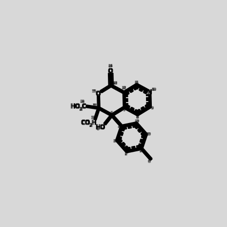 Cc1ccc(C2(O)c3ccncc3C(=O)OC2(C(=O)O)C(=O)O)cc1